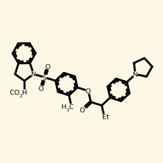 CCC(C(=O)Oc1ccc(S(=O)(=O)N2c3ccccc3CC2C(=O)O)cc1C)c1ccc(N2CCCC2)cc1